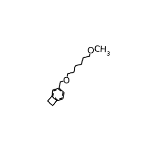 COCCCCCCOCc1ccc2c(c1)CC2